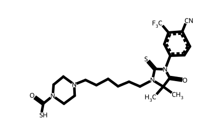 CC1(C)C(=O)N(c2ccc(C#N)c(C(F)(F)F)c2)C(=S)N1CCCCCCN1CCN(C(=O)S)CC1